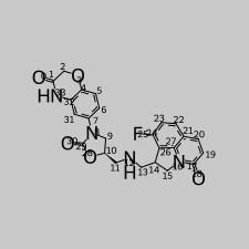 O=C1COc2ccc(N3C[C@@H](CNCC4Cn5c(=O)ccc6ccc(F)c4c65)OC3=O)cc2N1